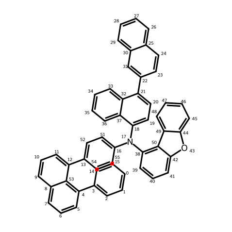 c1ccc(-c2cccc3cccc(-c4ccc(N(c5ccc(-c6ccc7ccccc7c6)c6ccccc56)c5cccc6oc7ccccc7c56)cc4)c23)cc1